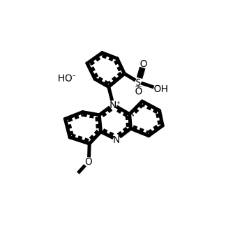 COc1cccc2c1nc1ccccc1[n+]2-c1ccccc1S(=O)(=O)O.[OH-]